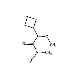 COC(C(=O)N(C)C)C1C[CH]C1